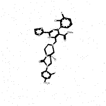 COC(=O)C1=C(CN2CCN3C(=O)N(c4ccc(C(=O)O)cc4F)C[C@@H]3C2)NC(c2nccs2)=N[C@H]1c1cccc(F)c1Cl